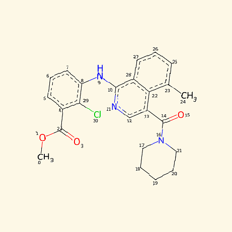 COC(=O)c1cccc(Nc2ncc(C(=O)N3CCCCC3)c3c(C)cccc23)c1Cl